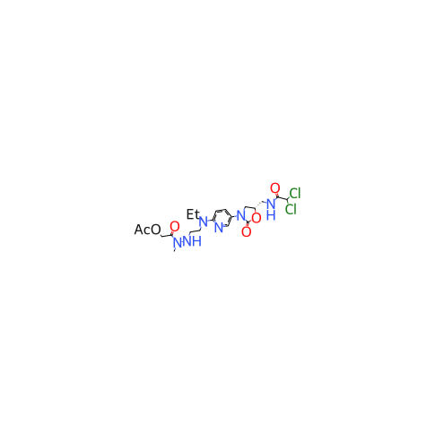 CCN(CCNN(C)C(=O)COC(C)=O)c1ccc(N2C[C@H](CNC(=O)C(Cl)Cl)OC2=O)cn1